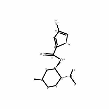 CC(C)[C@@H]1CC[C@@H](C)C[C@H]1OC(=O)c1cc(Br)cs1